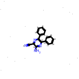 N#Cc1nc(-c2ccccc2)c(-c2ccccc2)nc1N